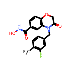 O=C(NO)c1ccc2c(c1)N(Cc1ccc(C(F)(F)F)c(F)c1)C(=O)CO2